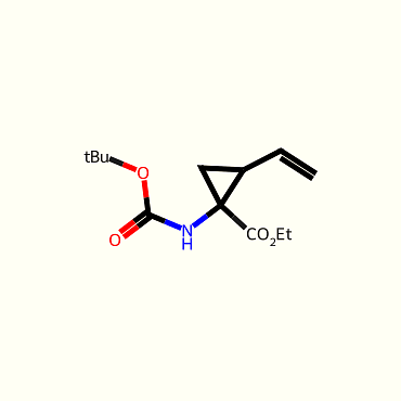 C=CC1CC1(NC(=O)OC(C)(C)C)C(=O)OCC